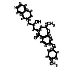 CC1CN(CC(O)CN2CCc3ccccc3C2)C(=O)c2ccc(OC3CCN(C)CC3)nc2O1